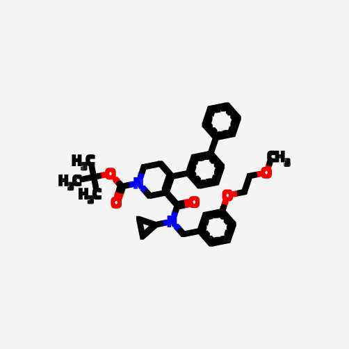 COCCOc1cccc(CN(C(=O)C2=C(c3cccc(-c4ccccc4)c3)CCN(C(=O)OC(C)(C)C)C2)C2CC2)c1